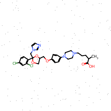 CC(CCCN1CCN(c2ccc(OCC3COC(Cn4ccnc4)(c4ccc(Cl)cc4Cl)O3)cc2)CC1)C(=O)O